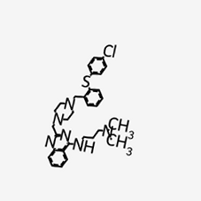 CN(C)CCCNc1nc(CN2CCN(Cc3ccccc3Sc3ccc(Cl)cc3)CC2)nc2ccccc12